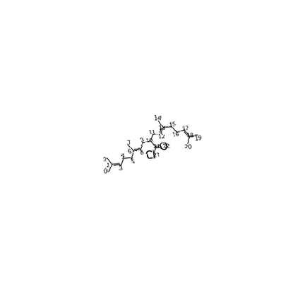 CC(C)=CCC/C(C)=C/CC(C/C=C(\C)CCC=C(C)C)C(=O)Cl